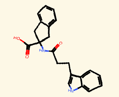 O=C(CCc1c[nH]c2ccccc12)NC1(C(=O)O)Cc2ccccc2C1